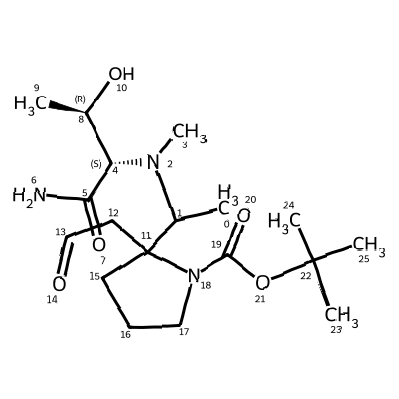 CC(N(C)[C@H](C(N)=O)[C@@H](C)O)C1(CC=O)CCCN1C(=O)OC(C)(C)C